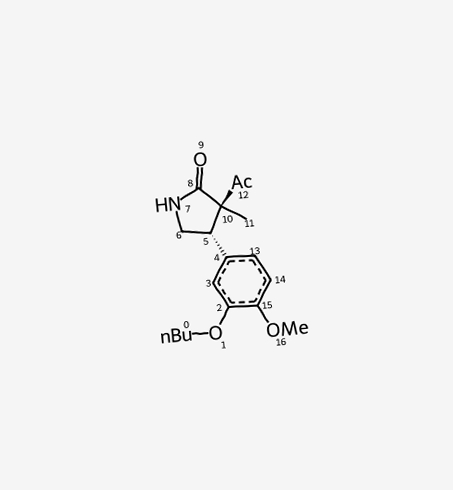 CCCCOc1cc([C@@H]2CNC(=O)[C@@]2(C)C(C)=O)ccc1OC